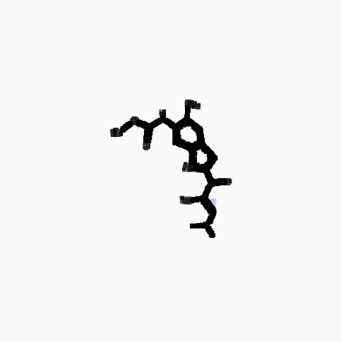 COc1cc2cc(C(=O)/C(C#N)=C/N(C)C)[nH]c2cc1NC(=O)OC(C)(C)C